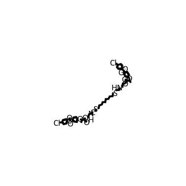 CC(Oc1ccc(S(=O)(=O)c2ccc(Cl)cc2)cc1)C(=O)OCCNCCSCCCCCCCCCCSCCNCCOC(=O)C(C)Oc1ccc(S(=O)(=O)c2ccc(Cl)cc2)cc1